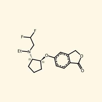 CCN(CC(F)F)[C@H]1CCC[C@@H]1Oc1ccc2c(c1)COC2=O